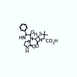 CC1(C)S[C@@H]2[C@H](N(C(=O)C(=N)c3ccccc3)N3CCNC3=O)C(=O)N2[C@H]1C(=O)O